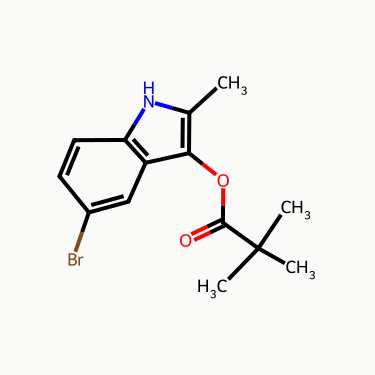 Cc1[nH]c2ccc(Br)cc2c1OC(=O)C(C)(C)C